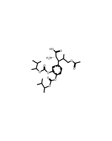 CC(=O)OCC(C)C(c1ccc(OC(=O)OC(C)C(C)C)c(OC(=O)OC(C)C(C)C)c1)[C@H](N)C(=O)O